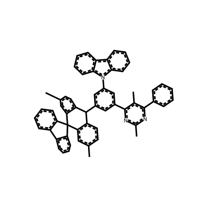 Cc1ccc2c(c1)C1(c3ccccc3-c3ccccc31)c1cc(C)ccc1C2c1cc(-c2nc(C)nc(-c3ccccc3)c2C)cc(-n2c3ccccc3c3ccccc32)c1